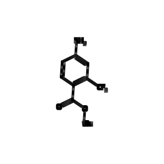 CC(C)(C)OC(=O)c1ccc(N)cc1C(F)(F)F